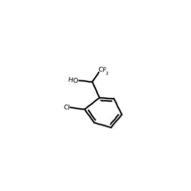 OC(c1ccccc1Cl)C(F)(F)F